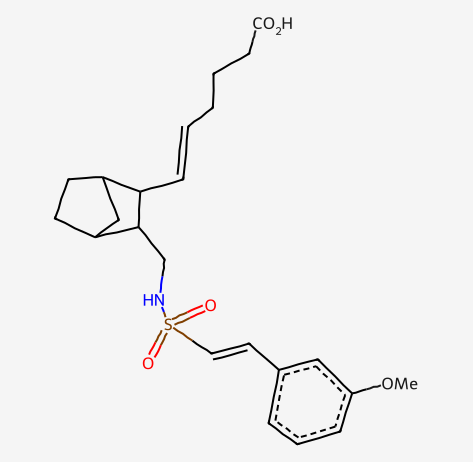 COc1cccc(C=CS(=O)(=O)NCC2C3CCC(C3)C2C=CCCCC(=O)O)c1